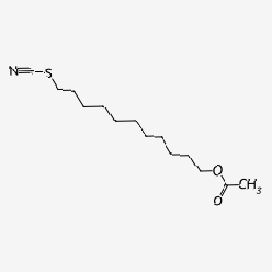 CC(=O)OCCCCCCCCCCCSC#N